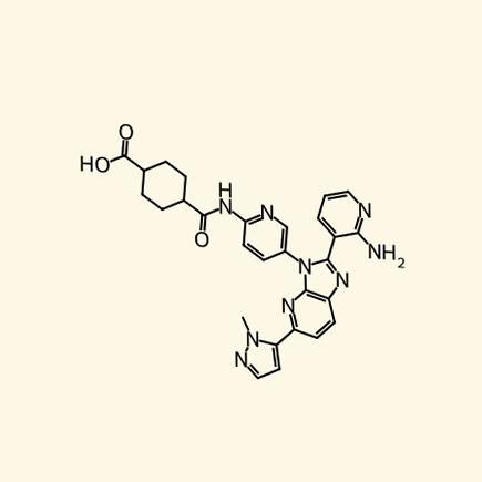 Cn1nccc1-c1ccc2nc(-c3cccnc3N)n(-c3ccc(NC(=O)C4CCC(C(=O)O)CC4)nc3)c2n1